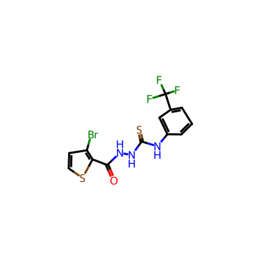 O=C(NNC(=S)Nc1cccc(C(F)(F)F)c1)c1sccc1Br